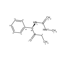 C=C(NC)N[C@@H](C(=O)CC)c1ccccc1